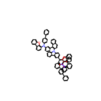 c1ccc(-c2ccc(N(c3cccc(-c4c(-n5c6ccccc6c6cc(-c7ccc(N(c8cccc(-c9ccccc9)c8)c8ccccc8-c8c(-n9c%10ccccc%10c%10ccccc%109)ccc9ccccc89)c8c7oc7ccccc78)ccc65)ccc5ccccc45)c3)c3cccc4c3oc3ccccc34)cc2)cc1